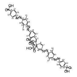 Cc1cc(N=Nc2ccc(C=Cc3ccc(N=Nc4cc(C)c(N=Nc5ccc(C(=O)O)cc5)cc4C)cc3S(=O)(=O)O)c(S(=O)(=O)O)c2)c(C)cc1N=Nc1ccc(C(=O)O)cc1